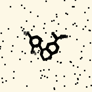 COC(=O)c1ccc2c(c1)C(c1ccc(C(F)(F)F)cc1C(F)(F)F)=CCO2